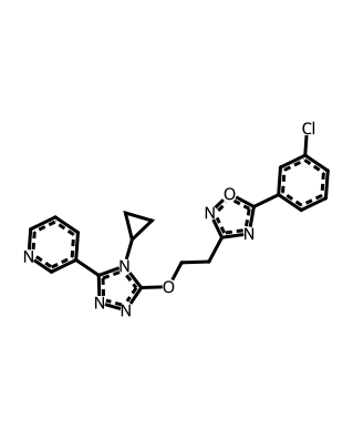 Clc1cccc(-c2nc(CCOc3nnc(-c4cccnc4)n3C3CC3)no2)c1